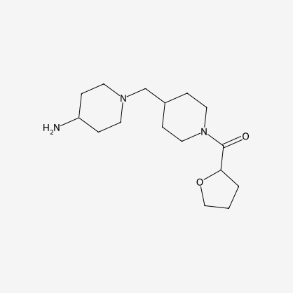 NC1CCN(CC2CCN(C(=O)C3CCCO3)CC2)CC1